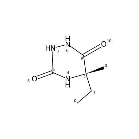 CC[C@]1(C)NC(=O)NNC1=O